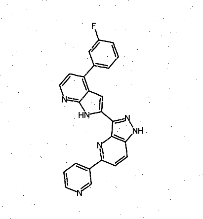 Fc1cccc(-c2ccnc3[nH]c(-c4n[nH]c5ccc(-c6cccnc6)nc45)cc23)c1